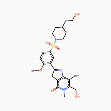 CCCc1c2c(c(=O)n(C)c1CO)CC(c1cc(S(=O)(=O)N3CCC(CCO)CC3)ccc1OCC)=N2